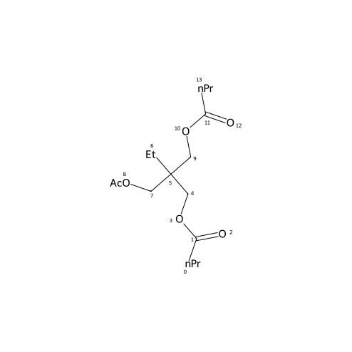 CCCC(=O)OCC(CC)(COC(C)=O)COC(=O)CCC